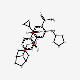 Cc1cc(C(N)=O)c(NC2CCCC2)cc1C(=O)NC1CC2CCC(C1)N2c1ccc(C(=O)C2CC2)cn1